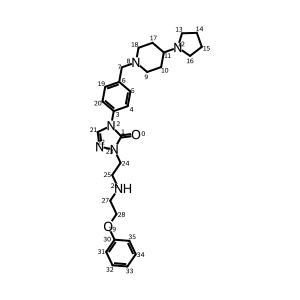 O=c1n(-c2ccc(CN3CCC(N4CCCC4)CC3)cc2)cnn1CCNCCOc1ccccc1